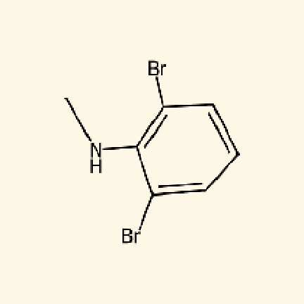 CNc1c(Br)cccc1Br